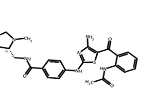 CC(=O)Nc1ccccc1C(=O)c1sc(Nc2ccc(C(=O)NC[C@@H]3CCCN3C)cc2)nc1N